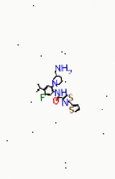 CC(C)c1cc(N2CCCC(CN)C2)c(NC(=O)c2csc(-c3cccs3)n2)cc1F